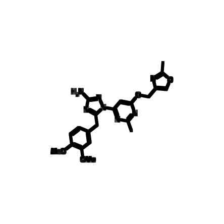 COc1ccc(Cc2nc(N)nn2-c2cc(OCc3coc(C)n3)nc(C)n2)cc1OC